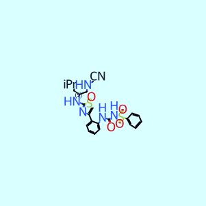 CC(C)C[C@H](Nc1nc(-c2ccccc2NC(=O)NS(=O)(=O)c2ccccc2)cs1)C(=O)NCC#N